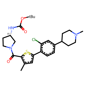 Cc1cc(-c2ccc(C3CCN(C)CC3)cc2Cl)sc1C(=O)N1CC[C@H](NC(=O)OC(C)(C)C)C1